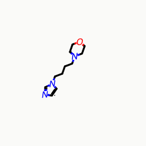 [c]1cn(CCCCN2CCOCC2)cn1